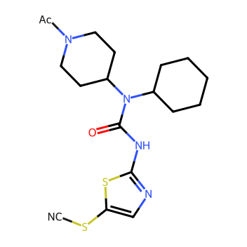 CC(=O)N1CCC(N(C(=O)Nc2ncc(SC#N)s2)C2CCCCC2)CC1